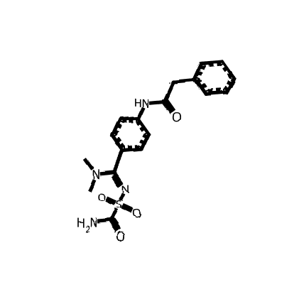 CN(C)C(=NS(=O)(=O)C(N)=O)c1ccc(NC(=O)[CH]c2ccccc2)cc1